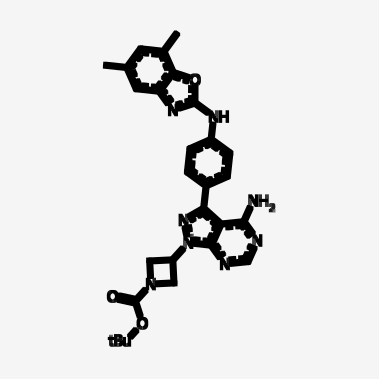 Cc1cc(C)c2oc(Nc3ccc(-c4nn(C5CN(C(=O)OC(C)(C)C)C5)c5ncnc(N)c45)cc3)nc2c1